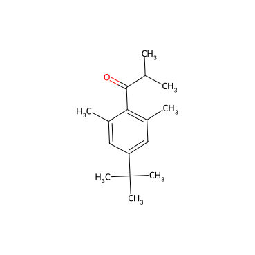 Cc1cc(C(C)(C)C)cc(C)c1C(=O)C(C)C